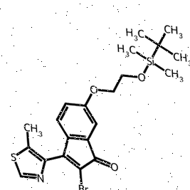 Cc1scnc1C1=C(Br)C(=O)c2cc(OCCO[Si](C)(C)C(C)(C)C)ccc21